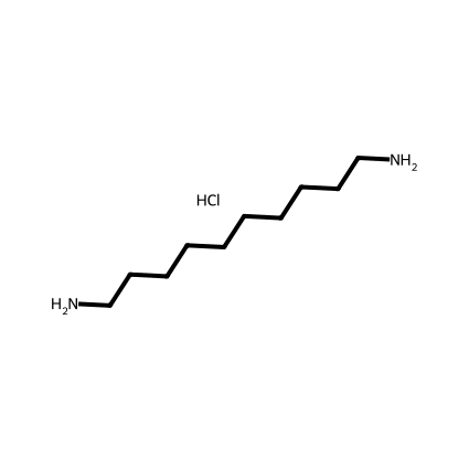 Cl.NCCCCCCCCCCN